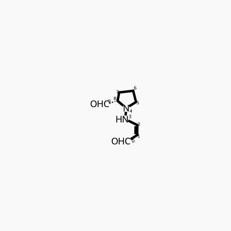 O=C/C=C\NN1CCC[C@H]1C=O